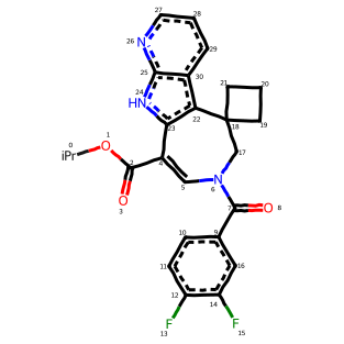 CC(C)OC(=O)C1=CN(C(=O)c2ccc(F)c(F)c2)CC2(CCC2)c2c1[nH]c1ncccc21